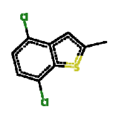 Cc1cc2c(Cl)ccc(Cl)c2s1